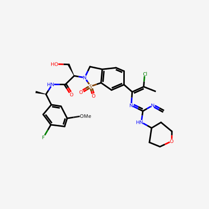 C=N/C(=N\C(=C(/C)Cl)c1ccc2c(c1)S(=O)(=O)N([C@H](CO)C(=O)N[C@H](C)c1cc(F)cc(OC)c1)C2)NC1CCOCC1